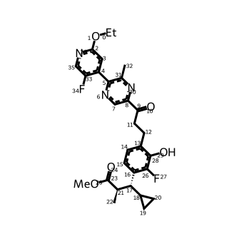 CCOc1cc(-c2ncc(C(=O)CCc3ccc([C@H](C4CC4)[C@@H](C)C(=O)OC)c(F)c3O)nc2C)c(F)cn1